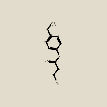 CCc1ccc(NC(=O)CCCl)cc1